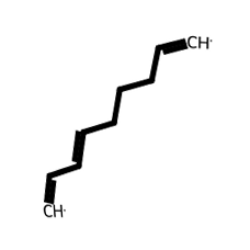 [CH]=CC=CCCCC=[CH]